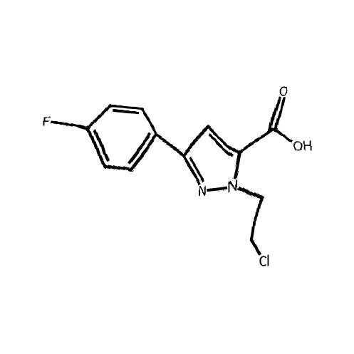 O=C(O)c1cc(-c2ccc(F)cc2)nn1CCCl